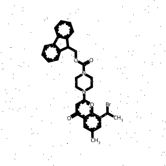 Cc1cc(C(C)Br)c2oc(N3CCN(C(=O)OCC4c5ccccc5-c5ccccc54)CC3)cc(=O)c2c1